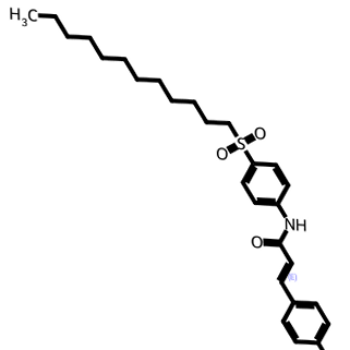 CCCCCCCCCCCCS(=O)(=O)c1ccc(NC(=O)/C=C/c2ccc(O)cc2)cc1